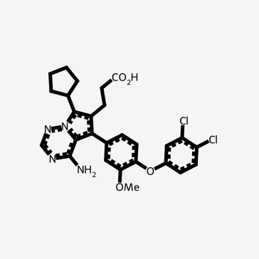 COc1cc(-c2c(CCC(=O)O)c(C3CCCC3)n3ncnc(N)c23)ccc1Oc1ccc(Cl)c(Cl)c1